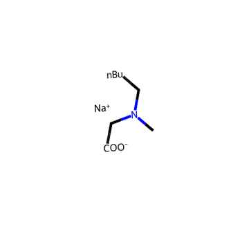 CCCCCN(C)CC(=O)[O-].[Na+]